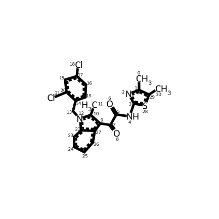 Cc1nc(NC(=O)C(=O)c2c(C)n(Cc3ccc(Cl)cc3Cl)c3ccccc23)sc1C